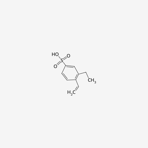 C=Cc1ccc(S(=O)(=O)O)cc1CC